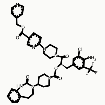 Nc1c(Cl)cc(C[C@@H](OC(=O)N2CCC(N3CCc4ccccc4NC3=O)CC2)C(=O)N2CCN(c3ccc(C(=O)OCc4ccncc4)cn3)CC2)cc1C(F)(F)F